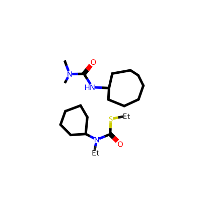 CCSC(=O)N(CC)C1CCCCC1.CN(C)C(=O)NC1CCCCCCC1